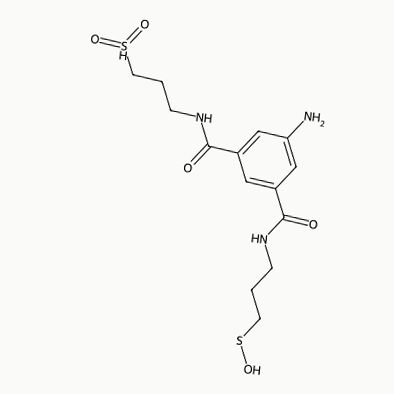 Nc1cc(C(=O)NCCCSO)cc(C(=O)NCCC[SH](=O)=O)c1